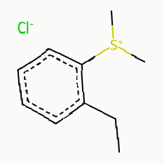 CCc1ccccc1[S+](C)C.[Cl-]